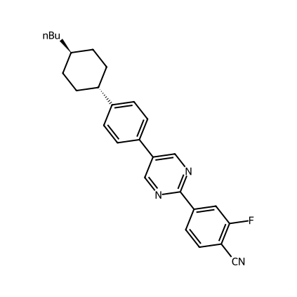 CCCC[C@H]1CC[C@H](c2ccc(-c3cnc(-c4ccc(C#N)c(F)c4)nc3)cc2)CC1